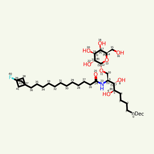 CCCCCCCCCCCCCC[C@@H](O)[C@@H](O)[C@H](CO[C@H]1O[C@H](CO)[C@H](O)[C@H](O)[C@H]1O)NC(=O)CCCCCCCCCCCC12CC(F)(C1)C2